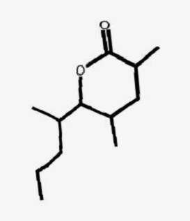 CCCC(C)C1OC(=O)C(C)CC1C